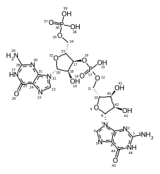 Nc1nc2c(ncn2[C@@H]2O[C@H](COP(=O)(O)O[C@H]3[C@@H](O)[C@H](n4cnc5c(=O)[nH]c(N)nc54)O[C@@H]3COP(=O)(O)O)[C@@H](O)[C@H]2O)c(=O)[nH]1